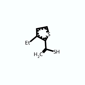 C=C(S)c1sccc1CC